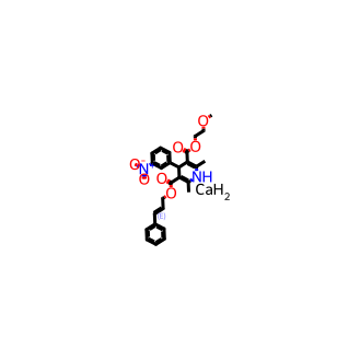 COCCOC(=O)C1=C(C)NC(C)=C(C(=O)OC/C=C/c2ccccc2)C1c1cccc([N+](=O)[O-])c1.[CaH2]